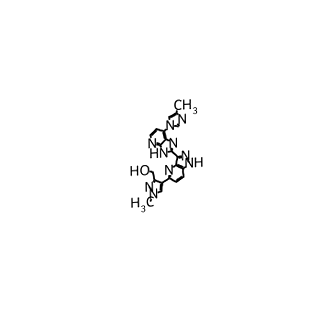 Cc1cn(-c2ccnc3[nH]c(-c4n[nH]c5ccc(-c6cn(C)nc6CO)nc45)nc23)cn1